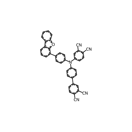 N#Cc1ccc(-c2ccc(N(c3ccc(-c4cccc5c4oc4ccccc45)cc3)c3ccc(C#N)c(C#N)c3)cc2)cc1C#N